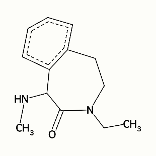 CCN1CCc2ccccc2C(NC)C1=O